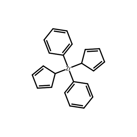 C1=C[CH]([Zr]([c]2ccccc2)([c]2ccccc2)[CH]2C=CC=C2)C=C1